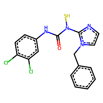 O=C(Nc1ccc(Cl)c(Cl)c1)N(S)c1nccn1Cc1ccccc1